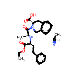 CC#N.CCOC(=O)[C@H](CCc1ccccc1)N[C@@H](C)C(=O)N1Cc2ccccc2C[C@H]1C(=O)O.Cl